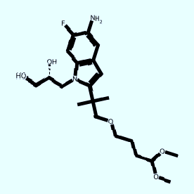 COC(CCCOCC(C)(C)c1cc2cc(N)c(F)cc2n1C[C@@H](O)CO)OC